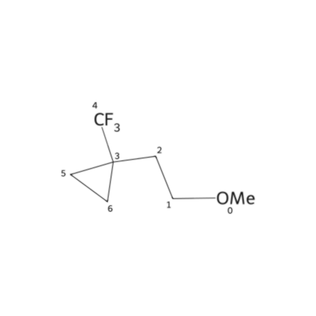 COCCC1(C(F)(F)F)CC1